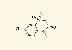 CN1C(=O)CS(=O)(=O)c2cc(Cl)ccc21